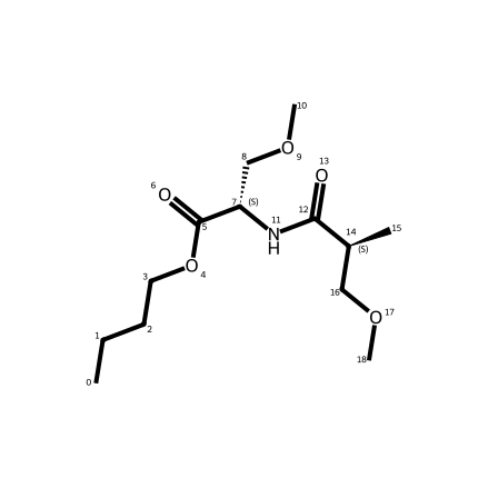 CCCCOC(=O)[C@H](COC)NC(=O)[C@@H](C)COC